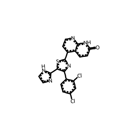 O=c1ccc2c(-c3nc(-c4ccc(Cl)cc4Cl)c(-c4ncc[nH]4)s3)ccnc2[nH]1